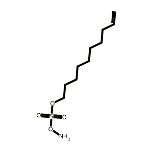 C=CCCCCCCCCOS(=O)(=O)ON